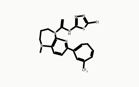 C=C(Nc1nnc(CC)s1)N1CCCN(C)c2ccc(C3=CCC=CC(C(F)(F)F)=C3)nc21